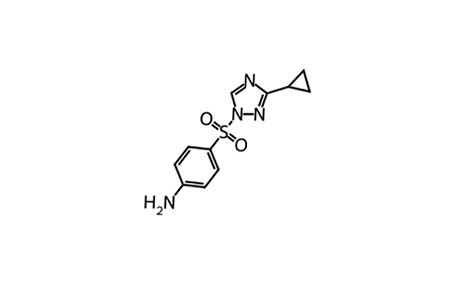 Nc1ccc(S(=O)(=O)n2cnc(C3CC3)n2)cc1